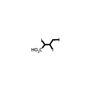 O=C(O)C(I)C(I)CI